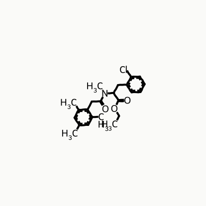 CCOC(=O)C(Cc1ccccc1Cl)N(C)C(=O)Cc1c(C)cc(C)cc1C